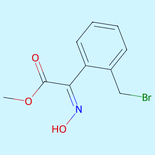 COC(=O)C(=NO)c1ccccc1CBr